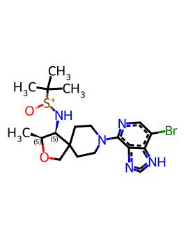 C[C@@H]1OCC2(CCN(c3ncc(Br)c4[nH]cnc34)CC2)[C@@H]1N[S+]([O-])C(C)(C)C